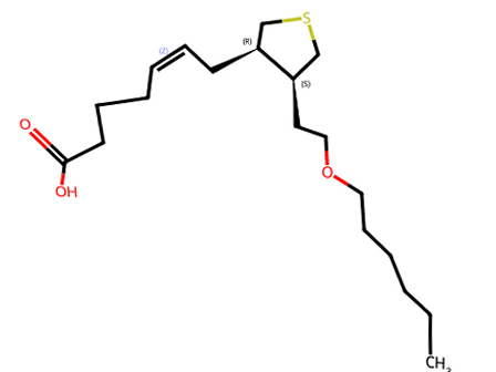 CCCCCCOCC[C@@H]1CSC[C@@H]1C/C=C\CCCC(=O)O